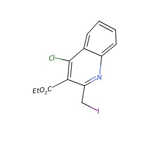 CCOC(=O)c1c(CI)nc2ccccc2c1Cl